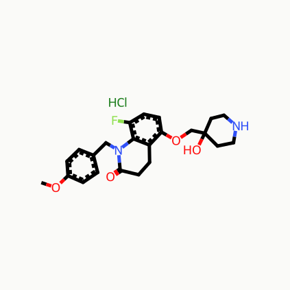 COc1ccc(CN2C(=O)CCc3c(OCC4(O)CCNCC4)ccc(F)c32)cc1.Cl